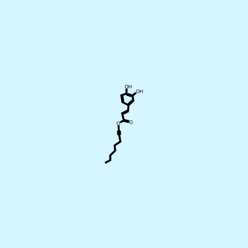 CCCCCCC#COC(=O)C=Cc1ccc(O)c(O)c1